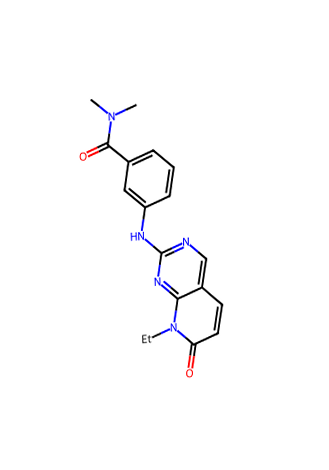 CCn1c(=O)ccc2cnc(Nc3cccc(C(=O)N(C)C)c3)nc21